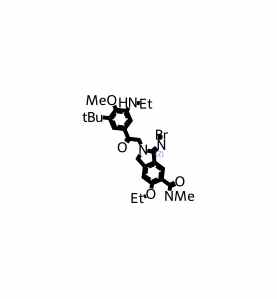 CCNc1cc(C(=O)CN2Cc3cc(OCC)c(C(=O)NC)cc3/C2=N/Br)cc(C(C)(C)C)c1OC